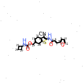 N#Cc1c(NC(=O)C=Cc2ccco2)sc2c1CCC(COC(=O)NC1CCC1)C2